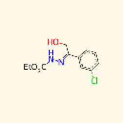 CCOC(=O)NN=C(CO)c1cccc(Cl)c1